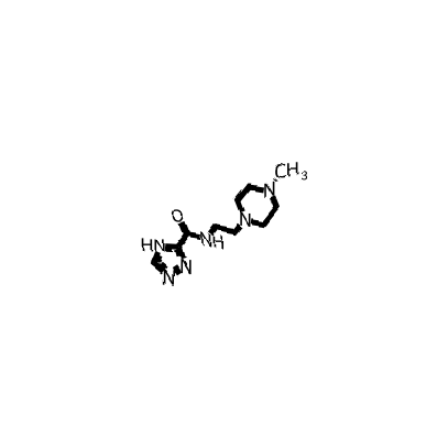 CN1CCN(CCNC(=O)c2nnc[nH]2)CC1